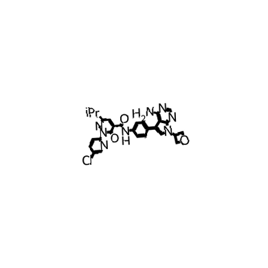 CC(C)c1cc(C(=O)Nc2ccc(-c3cn(C4COC4)c4ncnc(N)c34)cc2)c(=O)n(-c2ccc(Cl)cn2)n1